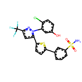 NS(=O)(=O)c1cccc(-c2ccc(-c3cc(C(F)(F)F)nn3-c3cc(O)ccc3Cl)s2)c1